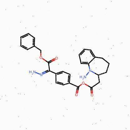 NN=C(C(=O)OCc1ccccc1)c1ccc(C(=O)OC(=O)CC2CCCc3ccccc3N2N)cc1